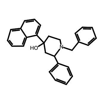 OC1(c2cccc3ccccc23)CCN(Cc2ccccc2)C(c2ccccc2)C1